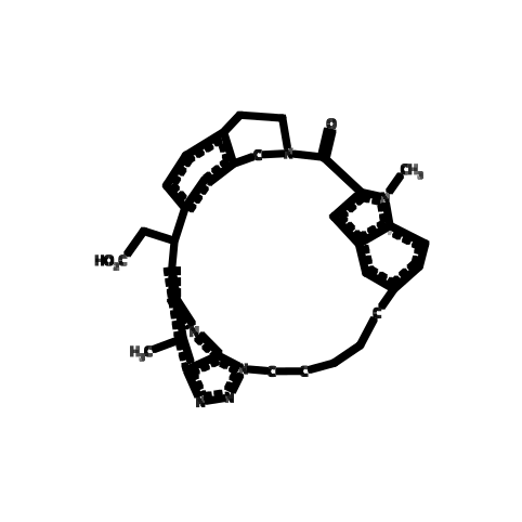 Cc1c2cnc3c1nnn3CCCCCc1ccc3c(c1)cc(n3C)C(=O)N1CCc3ccc(cc3C1)C2CC(=O)O